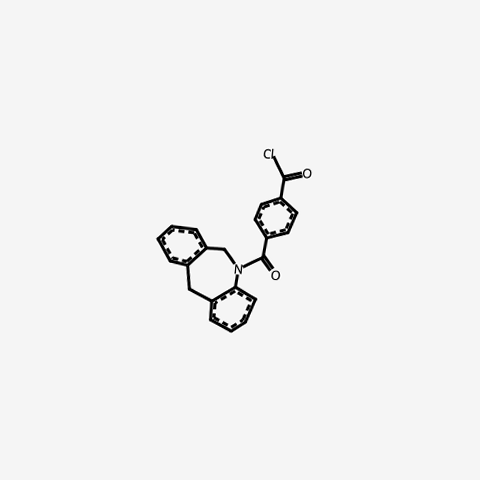 O=C(Cl)c1ccc(C(=O)N2Cc3ccccc3Cc3ccccc32)cc1